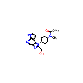 COC(=O)N(C)[C@H]1CC[C@H](n2c(CO)nc3cnc4[nH]ccc4c32)CC1